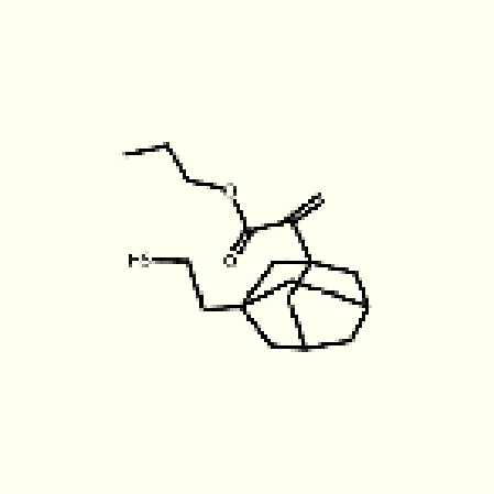 C=C(C(=O)OCCC)C12CC3CC(CC(CCS)(C3)C1)C2